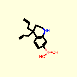 C=CCC1(CC=C)CCNc2cc(B(O)O)ccc21